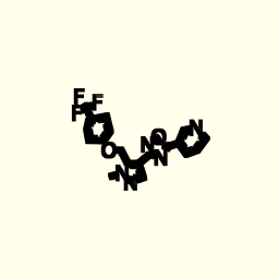 Cn1ncc(-c2noc(-c3cccnc3)n2)c1COc1ccc(C(F)(F)F)cc1